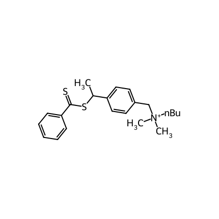 CCCC[N+](C)(C)Cc1ccc(C(C)SC(=S)c2ccccc2)cc1